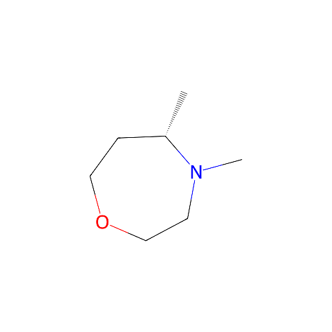 C[C@H]1CCOCCN1C